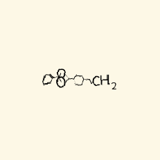 C=CC[C@H]1CC[C@H]([C@H]2CO[C@H](c3ccccc3)OC2)CC1